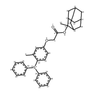 Cc1cc(OCC(=O)OC2(C)C3CC4CC(C3)CC2C4)ccc1[S+](c1ccccc1)c1ccccc1